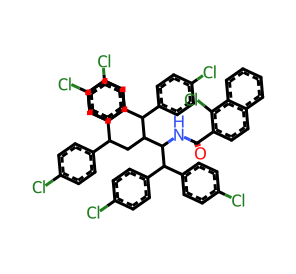 O=C(NC(C(c1ccc(Cl)cc1)c1ccc(Cl)cc1)C(CC(c1ccc(Cl)cc1)c1ccc(Cl)cc1)C(c1ccc(Cl)cc1)c1ccc(Cl)cc1)c1ccc2ccccc2c1Cl